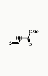 COC(=O)NC=S